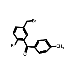 Cc1ccc(C(=O)c2cc(CBr)ccc2Br)cc1